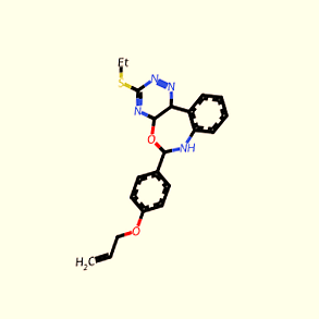 C=CCOc1ccc(C2Nc3ccccc3C3N=NC(SCC)=NC3O2)cc1